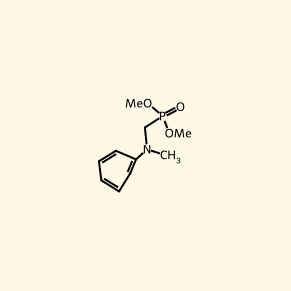 COP(=O)(CN(C)c1ccccc1)OC